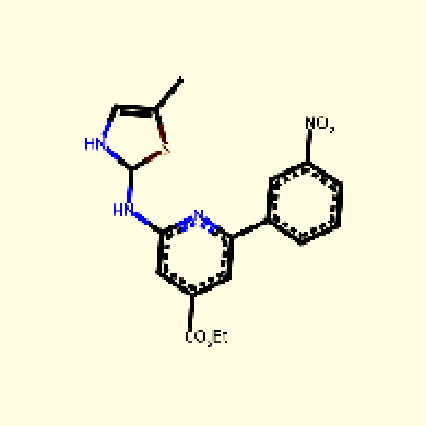 CCOC(=O)c1cc(NC2NC=C(C)S2)nc(-c2cccc([N+](=O)[O-])c2)c1